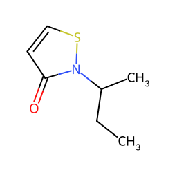 CCC(C)n1sccc1=O